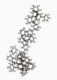 c1ccc(-c2cccc(N(c3cc(-c4ccccc4)cc(-c4ccc(-c5ccc6c(c5)c5cccc7c5n6-c5ccccc5C75c6ccccc6-c6cc(-c7cccc(N(c8cc(-c9ccccc9)cc(-c9ccccc9)c8)c8ccccc8-c8ccccc8)c7)ccc65)cc4)c3)c3ccccc3-c3ccc4c(c3)-n3c5ccccc5c5cccc(c53)C43c4ccccc4-c4ccccc43)c2)cc1